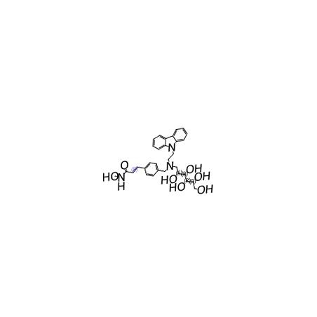 O=C(/C=C/c1ccc(CN(CCn2c3ccccc3c3ccccc32)C[C@H](O)[C@@H](O)[C@H](O)[C@H](O)CO)cc1)NO